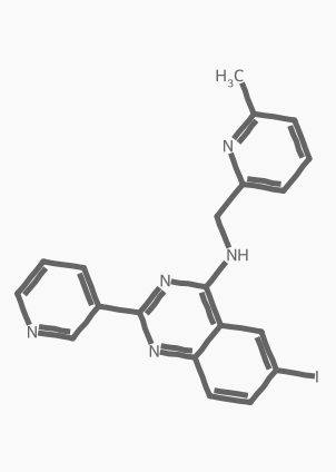 Cc1cccc(CNc2nc(-c3cccnc3)nc3ccc(I)cc23)n1